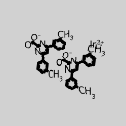 Cc1cccc(-c2cc(-c3cccc(C)c3)nc(C(=O)[O-])n2)c1.Cc1cccc(-c2cc(-c3cccc(C)c3)nc(C(=O)[O-])n2)c1.[Ir+3]